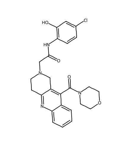 O=C(CN1CCc2nc3ccccc3c(C(=O)N3CCOCC3)c2C1)Nc1ccc(Cl)cc1O